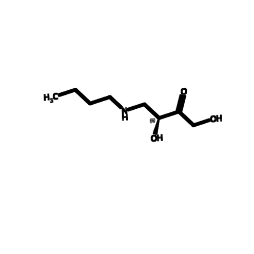 CCCCNC[C@H](O)C(=O)CO